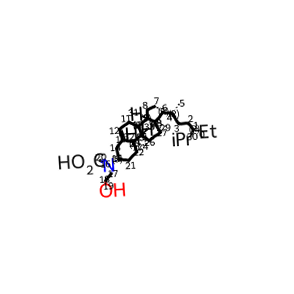 CC[C@H](CC[C@@H](C)[C@H]1CC[C@H]2[C@@H]3CC=C4C[C@@H](N(CCO)C(=O)O)CC[C@]4(C)[C@H]3CC[C@]12C)C(C)C